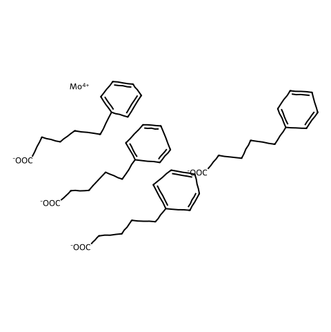 O=C([O-])CCCCc1ccccc1.O=C([O-])CCCCc1ccccc1.O=C([O-])CCCCc1ccccc1.O=C([O-])CCCCc1ccccc1.[Mo+4]